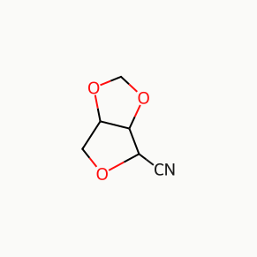 N#CC1OCC2OCOC12